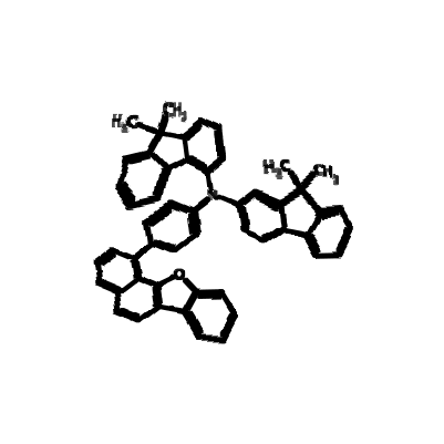 CC1(C)c2ccccc2-c2ccc(N(c3ccc(-c4cccc5ccc6c7ccccc7oc6c45)cc3)c3cccc4c3-c3ccccc3C4(C)C)cc21